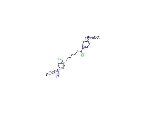 CCCCCCCCNc1cc[n+](C(Cl)CCCCCCC(Cl)[n+]2ccc(NCCCCCCCC)cc2)cc1